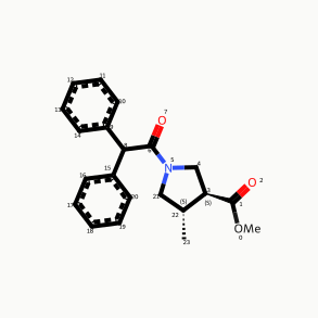 COC(=O)[C@@H]1CN(C(=O)C(c2ccccc2)c2ccccc2)C[C@H]1C